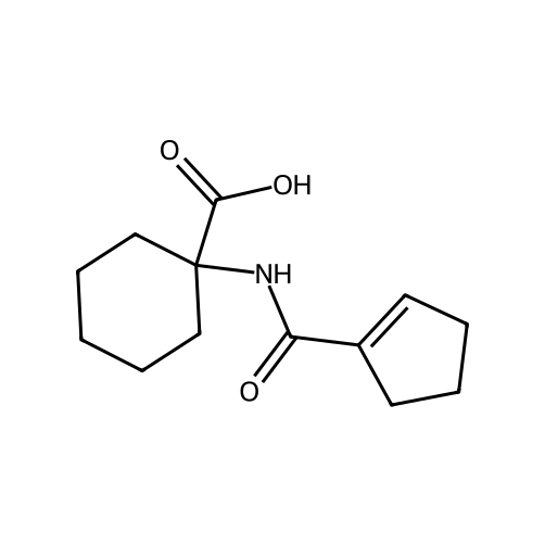 O=C(NC1(C(=O)O)CCCCC1)C1=CCCC1